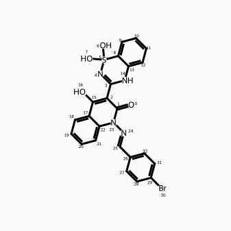 O=c1c(C2=NS(O)(O)c3ccccc3N2)c(O)c2ccccc2n1N=Cc1ccc(Br)cc1